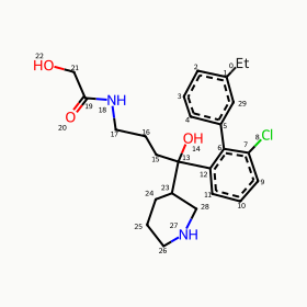 CCc1cccc(-c2c(Cl)cccc2C(O)(CCCNC(=O)CO)C2CCCNC2)c1